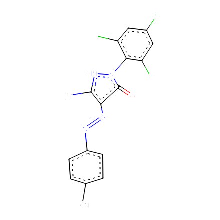 N#Cc1ccc(/N=N/c2c(N)[nH]n(-c3c(Cl)cc(Cl)cc3Cl)c2=O)cc1